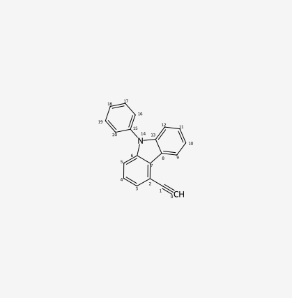 C#Cc1cccc2c1c1ccccc1n2-c1ccccc1